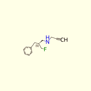 C#CCNC[C@@H](CF)Cc1ccccc1